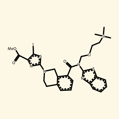 COC(=O)c1nc(N2CCc3cccc(C(=O)N(COCC[Si](C)(C)C)c4nc5ccccc5s4)c3C2)sc1I